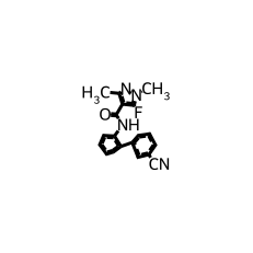 Cc1nn(C)c(F)c1C(=O)Nc1ccccc1-c1cccc(C#N)c1